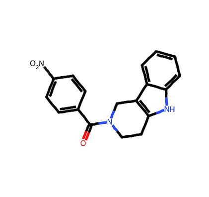 O=C(c1ccc([N+](=O)[O-])cc1)N1CCc2[nH]c3ccccc3c2C1